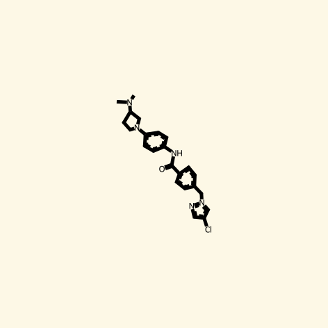 CN(C)C1CCN(c2ccc(NC(=O)c3ccc(Cn4cc(Cl)cn4)cc3)cc2)C1